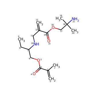 C=C(C)C(=O)OCC(CC)NCC(=C)C(=O)OCC(C)(C)N